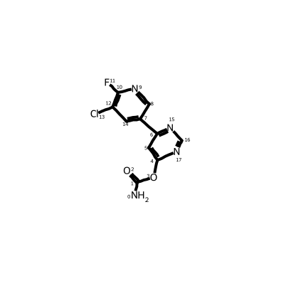 NC(=O)Oc1cc(-c2cnc(F)c(Cl)c2)ncn1